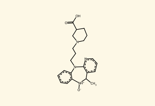 CC1c2cccnc2N(CCCN2CCCC(C(=O)O)C2)c2ccccc2[NH+]1[O-]